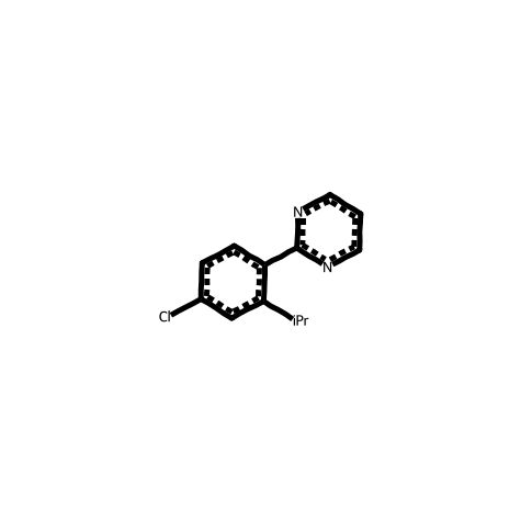 CC(C)c1cc(Cl)ccc1-c1ncccn1